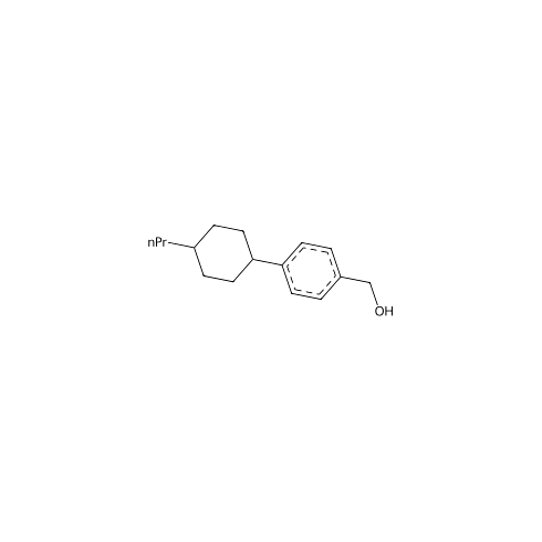 CCCC1CCC(c2ccc(CO)cc2)CC1